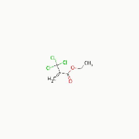 C=C(C(=O)OCC)C(Cl)(Cl)Cl